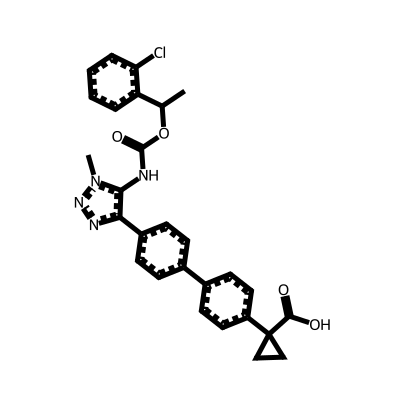 CC(OC(=O)Nc1c(-c2ccc(-c3ccc(C4(C(=O)O)CC4)cc3)cc2)nnn1C)c1ccccc1Cl